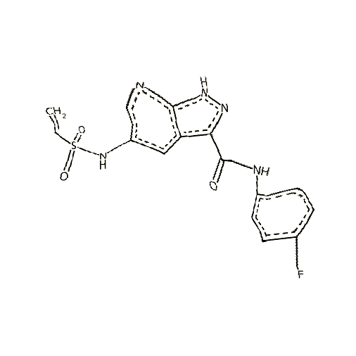 C=CS(=O)(=O)Nc1cnc2[nH]nc(C(=O)Nc3ccc(F)cc3)c2c1